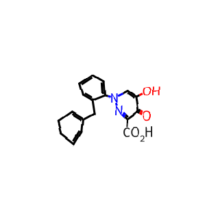 O=C(O)c1nn(-c2ccccc2CC2=CCCC=C2)cc(O)c1=O